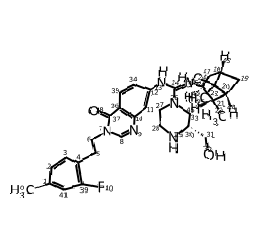 Cc1ccc(CCn2cnc3cc(N/C(=N/[C@H]4C[C@@H]5C[C@H]([C@@H]4C)C5(C)C)N4CCN[C@@H](CO)C4)ccc3c2=O)c(F)c1